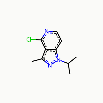 Cc1nn(C(C)C)c2ccnc(Cl)c12